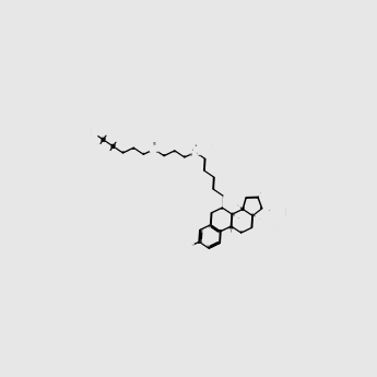 CN(CCCCC[C@@H]1Cc2cc(O)ccc2[C@H]2CC[C@]3(C)[C@@H](O)[C@H](F)C[C@H]3[C@H]12)CCC[S+]([O-])CCCC(F)(F)C(F)(F)F